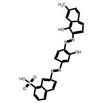 Cc1ccc2ccc(N=Nc3ccc(N=Nc4ccc5cccc(S(=O)(=O)O)c5c4)cc3O)c(O)c2c1